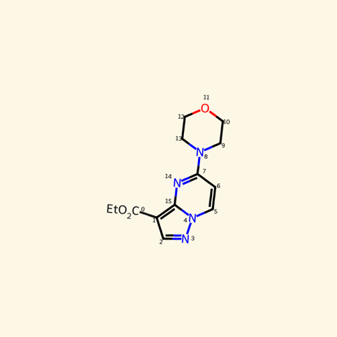 CCOC(=O)c1cnn2ccc(N3CCOCC3)nc12